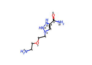 NCCOCCN1C=C(C(N)=O)NN1